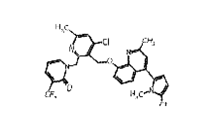 CCc1ccc(-c2cc(C)nc3c(OCc4c(Cl)cc(C)nc4Cn4cccc(C(F)(F)F)c4=O)cccc23)n1C